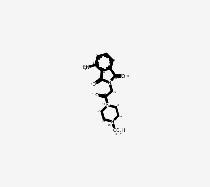 Nc1cccc2c1C(=O)N(CC(=O)N1CCN(C(=O)O)CC1)C2=O